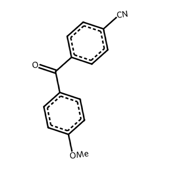 COc1ccc(C(=O)c2ccc(C#N)cc2)cc1